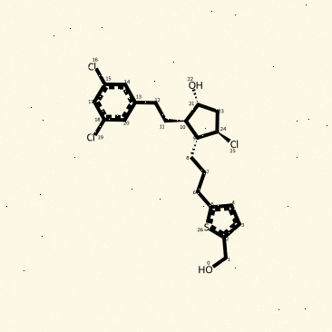 OCc1ccc(CCC[C@@H]2[C@@H](CCc3cc(Cl)cc(Cl)c3)[C@H](O)C[C@H]2Cl)s1